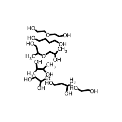 CC(O)C(C)O.CC(O)CCO.CC(O)COC(C)CO.CCC(O)CO.OCCCCO.OCCO.OCCOCCO